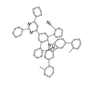 Cc1ccccc1-c1ccc2c(c1)c1cc(-c3ccccc3C)ccc1n2-c1c(-c2ccccc2C#N)cc(-c2cc(-c3ccccc3)nc(-c3ccccc3)n2)cc1-c1ccccc1C#N